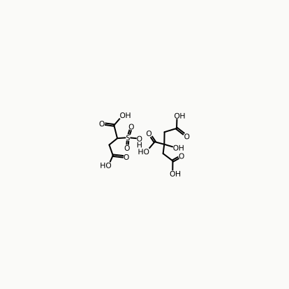 O=C(O)CC(C(=O)O)S(=O)(=O)O.O=C(O)CC(O)(CC(=O)O)C(=O)O